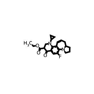 CCOC(=O)C1CN(C2CC2)c2c(cc(F)c3c2C=CCC2CCCN32)C1=O